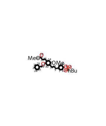 CCCCS(=O)(=O)Oc1ccc(C/C=C/c2ccc(/C=C/C(=O)OC)c(OCc3ccccc3)c2)cc1OC